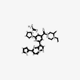 CCN(CC)C(C)CNC(=O)c1cc(-c2cnn3ccc(-c4cccs4)nc23)nc(N2CCC[C@@H]2C(N)=O)c1